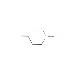 O=C(O)CC[C@@H](C(=O)O)N(Br)Br